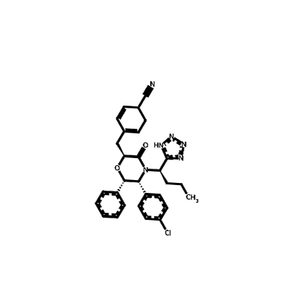 CCC[C@H](c1nnn[nH]1)N1C(=O)[C@H](CC2=CCC(C#N)C=C2)O[C@@H](c2ccccc2)[C@H]1c1ccc(Cl)cc1